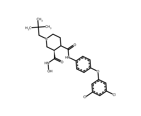 CC(C)(C)CN1CCC(C(=O)Nc2ccc(Oc3cc(Cl)cc(Cl)c3)cc2)[C@@H](C(=O)NO)C1